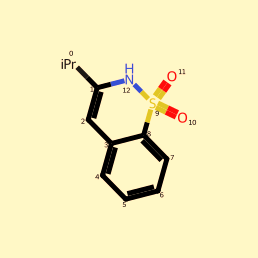 CC(C)C1=Cc2ccccc2S(=O)(=O)N1